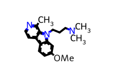 COc1ccc2c3ccnc(C)c3n(CCCN(C)C)c2c1